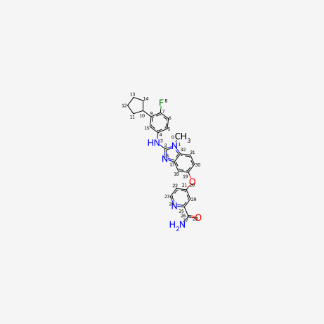 Cn1c(Nc2ccc(F)c(C3CCCC3)c2)nc2cc(Oc3ccnc(C(N)=O)c3)ccc21